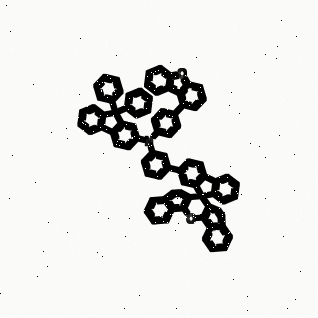 c1ccc(C2(c3ccccc3)c3ccccc3-c3ccc(N(c4ccc(-c5cccc6oc7ccccc7c56)cc4)c4cccc(-c5ccc6c(c5)C5(c7ccccc7-6)c6ccc7ccccc7c6Oc6c5ccc5ccccc65)c4)cc32)cc1